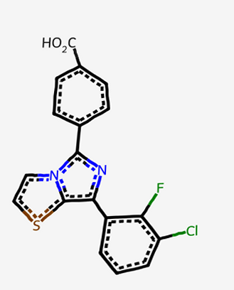 O=C(O)c1ccc(-c2nc(-c3cccc(Cl)c3F)c3sccn23)cc1